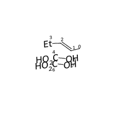 CC=CCC.O=C(O)O.O=C(O)O